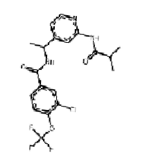 CC(C)C(=O)Nc1cc(C(C)NC(=O)c2ccc(OC(F)(F)F)c(Cl)c2)ccn1